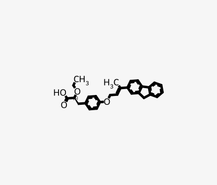 CCO[C@@H](Cc1ccc(OCC=C(C)c2ccc3c(c2)Cc2ccccc2-3)cc1)C(=O)O